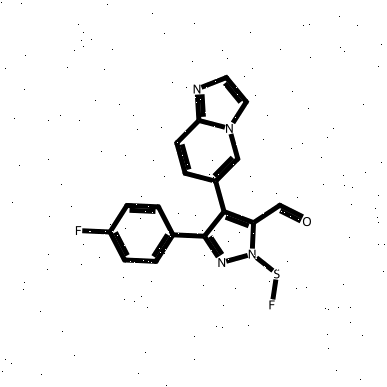 O=Cc1c(-c2ccc3nccn3c2)c(-c2ccc(F)cc2)nn1SF